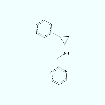 c1ccc(C2CC2NCc2ccccn2)cc1